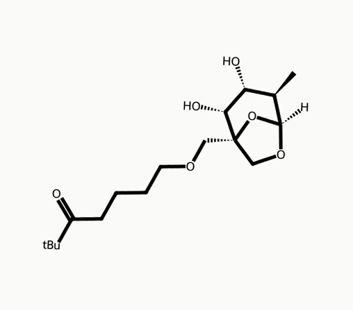 C[C@H]1[C@H]2OC[C@](COCCCCC(=O)C(C)(C)C)(O2)[C@H](O)[C@@H]1O